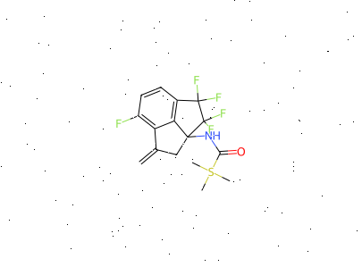 C=C1CC2(NC(=O)S(C)(C)C)c3c(ccc(F)c31)C(F)(F)C2(F)F